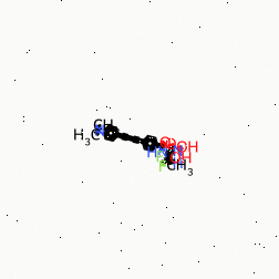 CN(C)c1ccc(C#CC#Cc2ccc(C(=O)N[C@H](C(=O)NO)C(C)(O)C(F)F)cc2)cc1